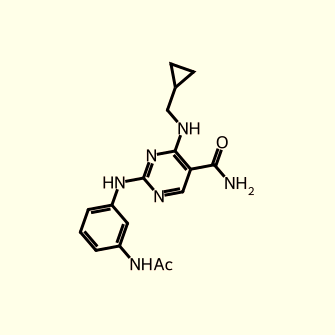 CC(=O)Nc1cccc(Nc2ncc(C(N)=O)c(NCC3CC3)n2)c1